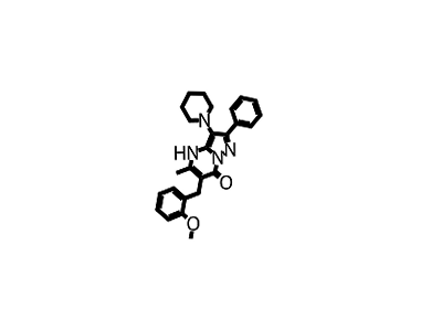 COc1ccccc1Cc1c(C)[nH]c2c(N3CCCCC3)c(-c3ccccc3)nn2c1=O